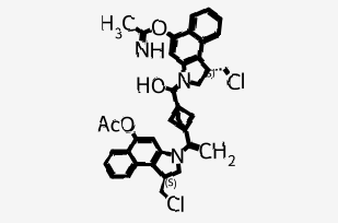 C=C(N1C[C@@H](CCl)c2c1cc(OC(C)=O)c1ccccc21)C12CC(C(O)N3C[C@@H](CCl)c4c3cc(OC(C)=N)c3ccccc43)(C1)C2